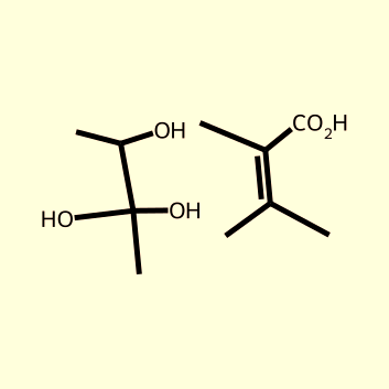 CC(C)=C(C)C(=O)O.CC(O)C(C)(O)O